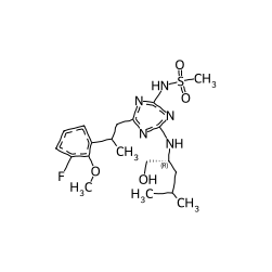 COc1c(F)cccc1C(C)Cc1nc(N[C@@H](CO)CC(C)C)nc(NS(C)(=O)=O)n1